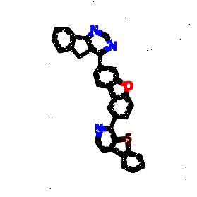 c1ccc2c(c1)Cc1c(-c3ccc4c(c3)oc3ccc(-c5nccc6c5sc5ccccc56)cc34)ncnc1-2